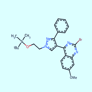 COc1ccc2c(-c3cn(CCO[Si](C)(C)C(C)(C)C)nc3-c3ccccc3)nc(Br)nc2c1